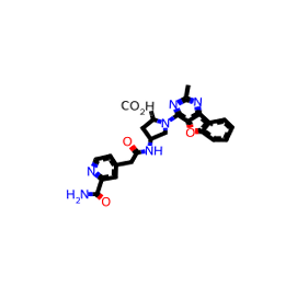 Cc1nc(N2CC(NC(=O)Cc3ccnc(C(N)=O)c3)CC2C(=O)O)c2oc3ccccc3c2n1